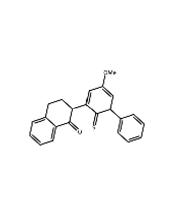 COC1=CC(c2ccccc2)C(=S)C(C2CCc3ccccc3C2=O)=C1